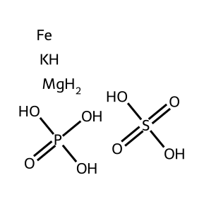 O=P(O)(O)O.O=S(=O)(O)O.[Fe].[KH].[MgH2]